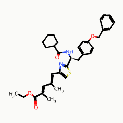 CCOC(=O)/C(C)=C/C(C)=C/c1csc([C@H](Cc2ccc(OCc3ccccc3)cc2)NC(=O)C2CCCCC2)n1